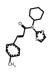 Cc1ccc(/C=C/C(=O)N(c2nccs2)C2CCCCC2)cc1